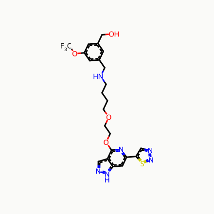 OCc1cc(CNCCCCOCCOc2nc(-c3cnns3)cc3[nH]ncc23)cc(OC(F)(F)F)c1